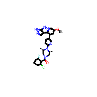 CCOc1cc(-c2ccc(N3[C@H](C)CN(C(=O)c4c(F)cccc4Cl)C[C@@H]3C)nc2)c2c3cn[nH]c3nn2c1